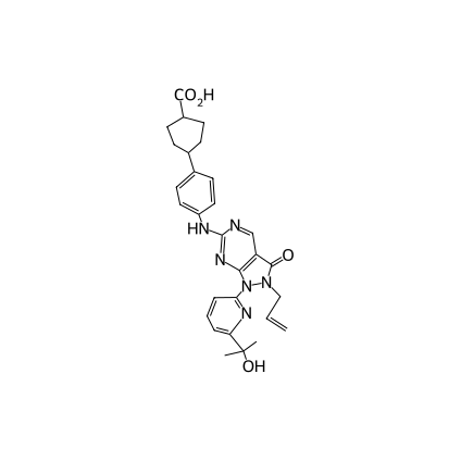 C=CCn1c(=O)c2cnc(Nc3ccc(C4CCC(C(=O)O)CC4)cc3)nc2n1-c1cccc(C(C)(C)O)n1